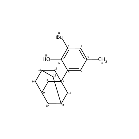 CCC(C)c1cc(C)cc(C23CC4CC(CC(C4)C2)C3)c1O